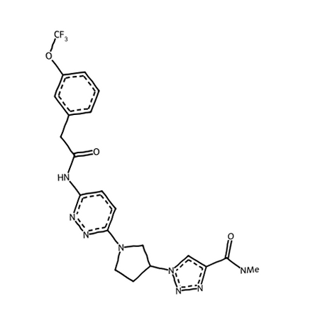 CNC(=O)c1cn(C2CCN(c3ccc(NC(=O)Cc4cccc(OC(F)(F)F)c4)nn3)C2)nn1